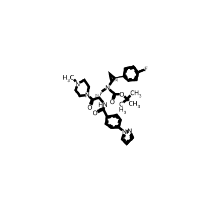 CN1CCN(C(=O)[C@H](CN(C(=O)OC(C)(C)C)C2C[C@H]2c2ccc(F)cc2)NC(=O)c2ccc(-n3cccn3)cc2)CC1